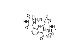 Nc1n[nH]c(N)c1/N=N/c1c(-c2n[nH]c(=O)[nH]c2=O)cccc1-c1n[nH]c(=O)[nH]c1=O